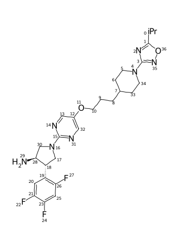 CC(C)c1nc(N2CCC(CCCOc3cnc(N4C[C@H](c5cc(F)c(F)cc5F)[C@@H](N)C4)nc3)CC2)no1